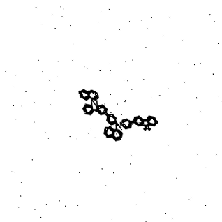 CC1(C)c2ccccc2-c2ccc(-c3ccc(N(c4ccc(-c5ccc6c(c5)c5ccccc5n6-c5cccc6ccccc56)cc4)c4cccc5ccccc45)cc3)cc21